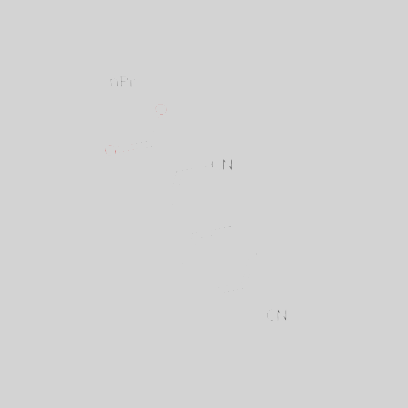 CCCOC(=O)/C(C#N)=C/c1ccc(C#N)cc1